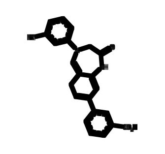 N#Cc1cccc(N2C=C3CC=C(c4cccc(C(=O)O)c4)C=C3NC(=O)C2)c1